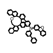 C1=Cc2c(ccc3c2CCOc2c(ccc4ccccc24)-c2cccc(-c4ccc(N(c5cccc(-c6ccccc6)c5)c5ccc6oc7ccccc7c6c5)cc4)c2-c2ccccc2-3)CC1